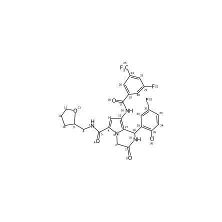 O=C1Cn2c(C(=O)NCC3CCCO3)cc(NC(=O)c3cc(F)cc(C(F)(F)F)c3)c2C(c2cc(F)ccc2Cl)N1